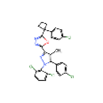 Cc1c(-c2nnc(C3(c4ccc(Cl)cc4)CCC3)o2)nn(-c2c(Cl)cccc2Cl)c1-c1ccc(Cl)cc1